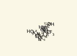 Cc1nc2sc(C(C)(C)O)nn2c1-c1ccc(C(F)(F)F)c(S(=O)(=O)N[C@H]2C[C@@H](O)C2)c1